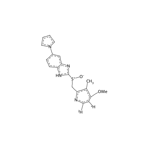 [2H]c1nc(C[S+]([O-])c2nc3cc(-n4cccc4)ccc3[nH]2)c(C)c(OC)c1[2H]